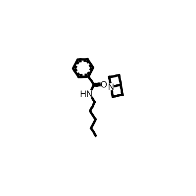 C1CN2CCC12.CCCCCNC(=O)c1ccccc1